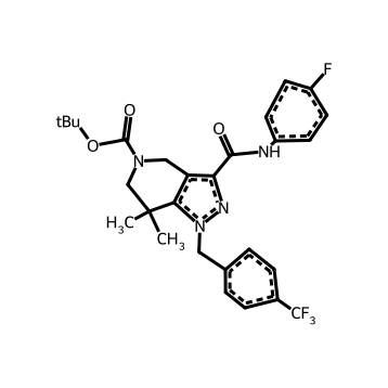 CC(C)(C)OC(=O)N1Cc2c(C(=O)Nc3ccc(F)cc3)nn(Cc3ccc(C(F)(F)F)cc3)c2C(C)(C)C1